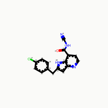 N#CNC(=O)c1ccnc2cc(Cc3ccc(Cl)cc3)[nH]c12